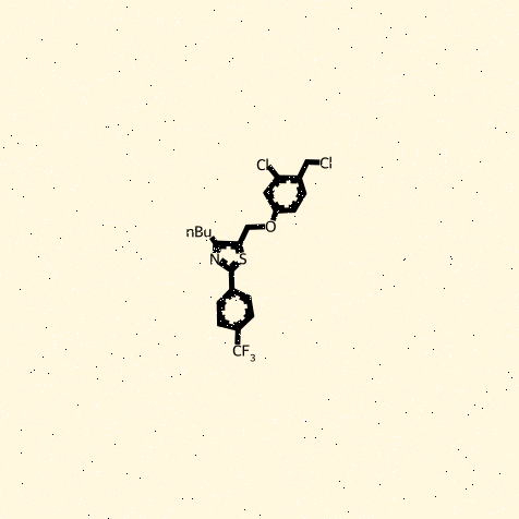 CCCCc1nc(-c2ccc(C(F)(F)F)cc2)sc1COc1ccc(CCl)c(Cl)c1